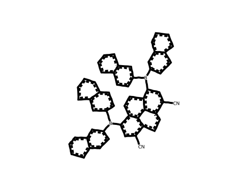 N#Cc1cc(B(c2ccc3ccccc3c2)c2ccc3ccccc3c2)c2ccc3c(B(c4ccc5ccccc5c4)c4ccc5ccccc5c4)cc(C#N)c4ccc1c2c43